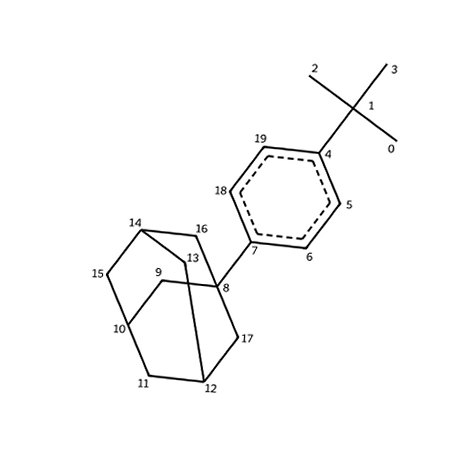 CC(C)(C)c1ccc(C23CC4CC(CC(C4)C2)C3)cc1